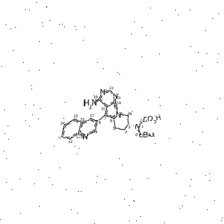 CC(C)(C)N(C(=O)O)[C@@H]1CCc2c(-c3cnc4ccccc4c3)c3c(N)ncnc3n2C1